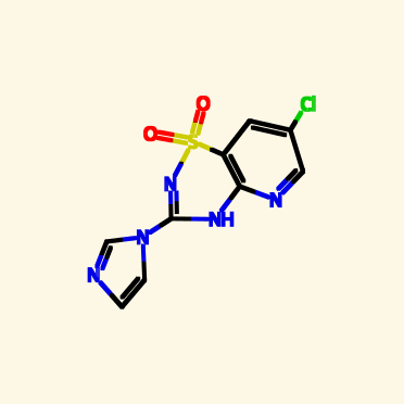 O=S1(=O)N=C(n2ccnc2)Nc2ncc(Cl)cc21